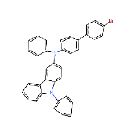 Brc1ccc(-c2ccc(N(c3ccccc3)c3ccc4c(c3)c3ccccc3n4-c3ccccc3)cc2)cc1